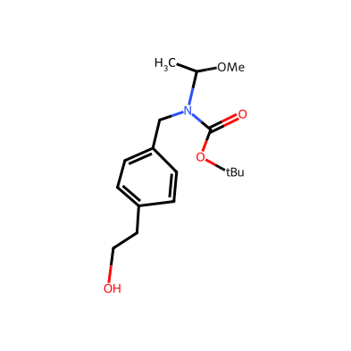 COC(C)N(Cc1ccc(CCO)cc1)C(=O)OC(C)(C)C